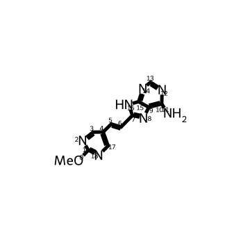 COc1ncc(/C=C/c2nc3c(N)ncnc3[nH]2)cn1